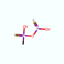 CP(O)(=S)O[PH](O)=S